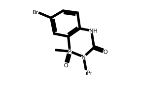 CC(C)N1C(=O)Nc2ccc(Br)cc2P1(C)=O